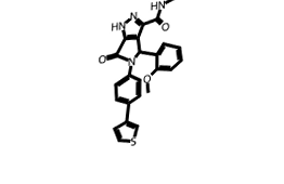 CNC(=O)c1n[nH]c2c1C(c1ccccc1OC)N(c1ccc(-c3ccsc3)cc1)C2=O